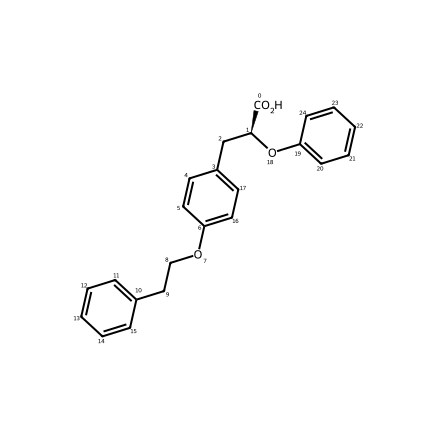 O=C(O)[C@H](Cc1ccc(OCCc2ccccc2)cc1)Oc1ccccc1